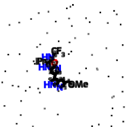 COCc1cnc2[nH]cc(-c3cncc(NC(C(=O)NCC(F)(F)F)C(C)C)c3)c2c1